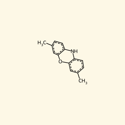 Cc1ccc2c(c1)Oc1cc(C)ccc1N2